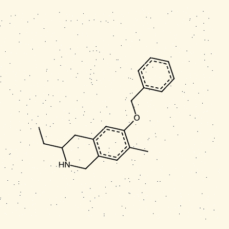 CCC1Cc2cc(OCc3ccccc3)c(C)cc2CN1